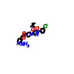 CC1(COc2c(N3CCN(S(=O)(=O)Cc4ccnc(N)c4)CC3)cnn(-c3cccc(Cl)c3)c2=O)CC1